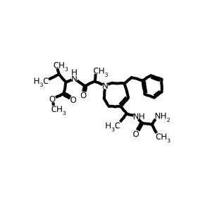 COC(=O)C(NC(=O)C(C)N1CCC(C(C)NC(=O)C(C)N)=CC(Cc2ccccc2)C1)C(C)C